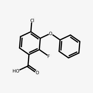 O=C(O)c1ccc(Cl)c(Oc2ccccc2)c1F